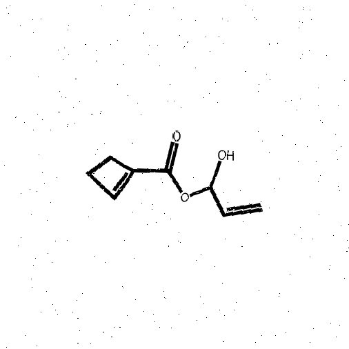 C=CC(O)OC(=O)C1=CCC1